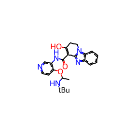 CC(NC(C)(C)C)Oc1ccncc1NC(=O)C1=C(O)CCn2c1nc1ccccc12